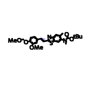 COCOc1ccc(/C=C/c2nc3cc(C)c(N(C)C(=O)OC(C)(C)C)cc3s2)cc1OC